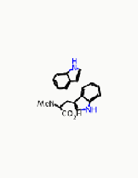 CNC(Cc1c[nH]c2ccccc12)C(=O)O.c1ccc2[nH]ccc2c1